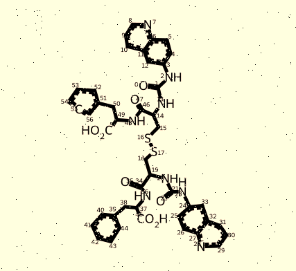 O=C(Nc1ccc2ncccc2c1)NC(CSSCC(NC(=O)Nc1ccc2ncccc2c1)C(=O)NC(Cc1ccccc1)C(=O)O)C(=O)NC(Cc1ccccc1)C(=O)O